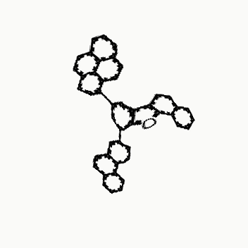 c1ccc2c(c1)ccc1cc(-c3cc(-c4ccc5ccc6cccc7ccc4c5c67)cc4c3oc3c5ccccc5ccc43)ccc12